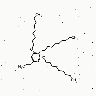 [CH2]CCc1cc(OCCCCCCCCC)c(OCCCCCCCCC)c(OCCCCCCCCC)c1